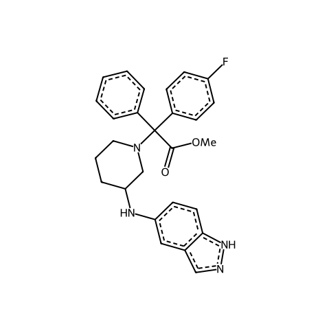 COC(=O)C(c1ccccc1)(c1ccc(F)cc1)N1CCCC(Nc2ccc3[nH]ncc3c2)C1